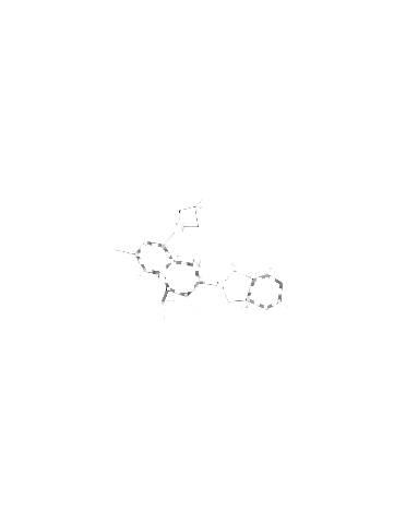 Cc1cc(N2CC(C(=O)O)C2)c2nc(N3Cc4ccccc4C3)cc(=O)n2c1